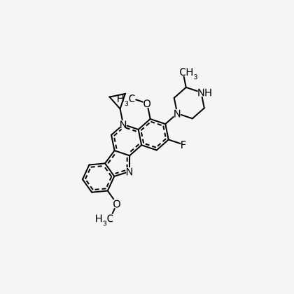 COc1cccc2c3cn(C4CC4)c4c(OC)c(N5CCNC(C)C5)c(F)cc4c-3nc12